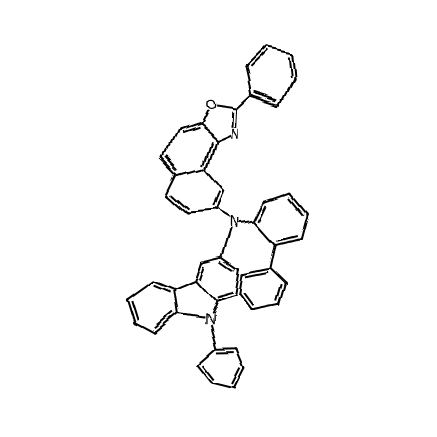 c1ccc(-c2nc3c(ccc4ccc(N(c5ccc6c(c5)c5ccccc5n6-c5ccccc5)c5ccccc5-c5ccccc5)cc43)o2)cc1